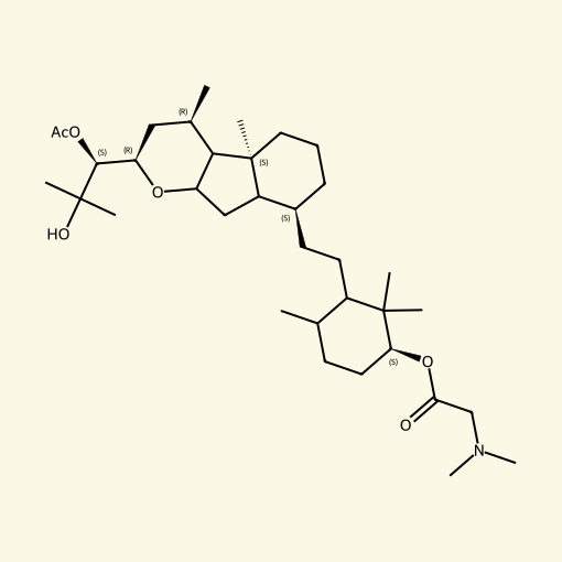 CC(=O)O[C@@H]([C@H]1C[C@@H](C)C2C(CC3[C@H](CCC4C(C)CC[C@H](OC(=O)CN(C)C)C4(C)C)CCC[C@@]32C)O1)C(C)(C)O